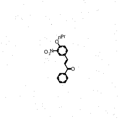 CCCOc1ccc(C=CC(=O)c2ccccc2)cc1[N+](=O)[O-]